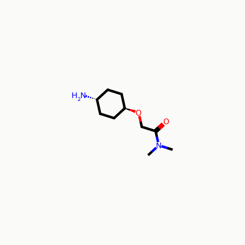 CN(C)C(=O)CO[C@H]1CC[C@H](N)CC1